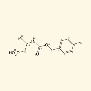 Cc1ccc(COC(=O)NC(CC(=O)O)C(C)C)cc1